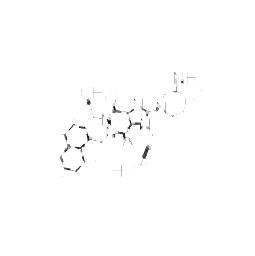 C#CCn1c(=O)c2nc(N3CCCC(N)C3)n(CC#CC)c2c(=O)n1Cc1cccc2ccccc12